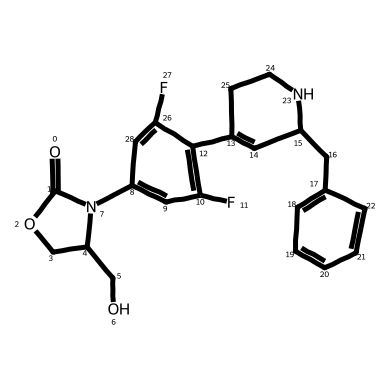 O=C1OCC(CO)N1c1cc(F)c(C2=CC(Cc3ccccc3)NCC2)c(F)c1